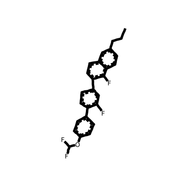 CCCc1ccc2c(F)c(-c3ccc(-c4ccc(OC(F)F)cc4)c(F)c3)ccc2c1